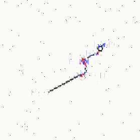 CCCCNc1ccc(C(=O)NCCCC[C@H](NC(=O)CCC[C@H](NC(=O)CCCCCCCCCCCCCCCCC(=O)O)C(=O)O)C(N)=O)cc1